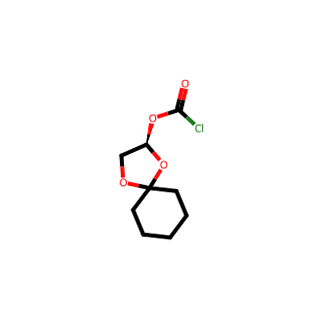 O=C(Cl)O[C@@H]1COC2(CCCCC2)O1